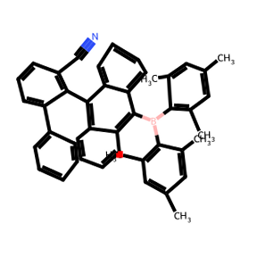 Cc1cc(C)c(B(c2c(C)cc(C)cc2C)c2c3ccccc3c(-c3c(C#N)cccc3-c3ccccc3)c3ccccc23)c(C)c1